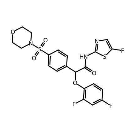 O=C(Nc1ncc(F)s1)C(Oc1ccc(F)cc1F)c1ccc(S(=O)(=O)N2CCOCC2)cc1